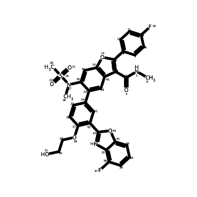 CNC(=O)c1c(-c2ccc(F)cc2)oc2cc(N(C)S(C)(=O)=O)c(-c3ccc(OCCO)c(-c4nc5c(F)cccc5o4)c3)cc12